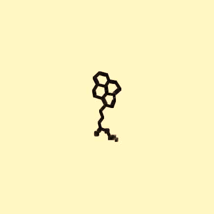 NOC(=O)CCCc1ccc2ccc3cccc4ccc1c2c34